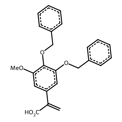 C=C(C(=O)O)c1cc(OC)c(OCc2ccccc2)c(OCc2ccccc2)c1